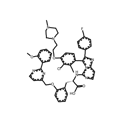 COc1ccccc1-c1nccc(COc2ccccc2C[C@H](Nc2nccc3nc(-c4ccc(F)cc4)c(-c4ccc(OCCN5CCN(C)CC5)c(Cl)c4C)n23)C(=O)O)n1